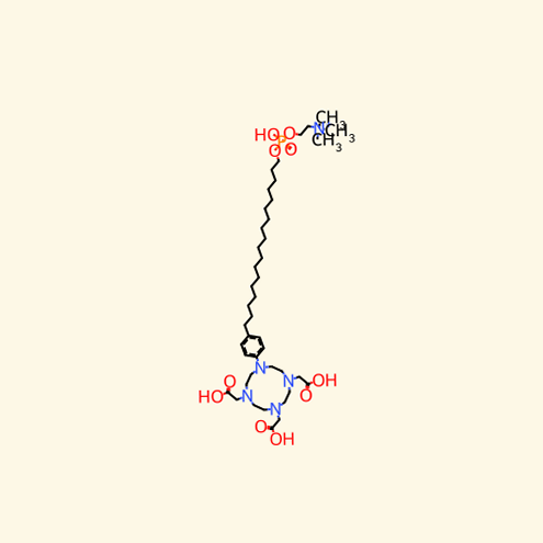 C[N+](C)(C)CCOP(=O)(O)OCCCCCCCCCCCCCCCCCCc1ccc(N2CCN(CC(=O)O)CCN(CC(=O)O)CCN(CC(=O)O)CC2)cc1